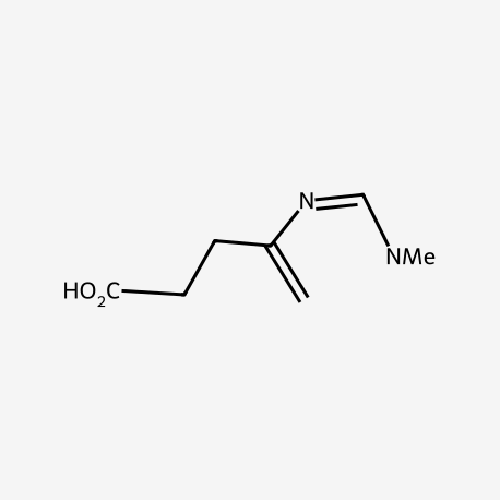 C=C(CCC(=O)O)/N=C\NC